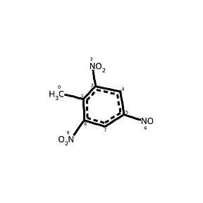 Cc1c([N+](=O)[O-])cc(N=O)cc1[N+](=O)[O-]